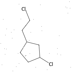 ClCCC1CCC(Cl)C1